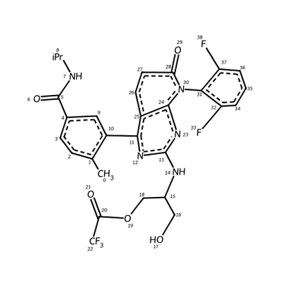 Cc1ccc(C(=O)NC(C)C)cc1-c1nc(NC(CO)COC(=O)C(F)(F)F)nc2c1ccc(=O)n2-c1c(F)cccc1F